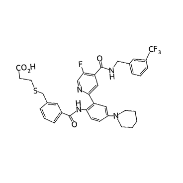 O=C(O)CCSCc1cccc(C(=O)Nc2ccc(N3CCCCC3)cc2-c2cc(C(=O)NCc3cccc(C(F)(F)F)c3)c(F)cn2)c1